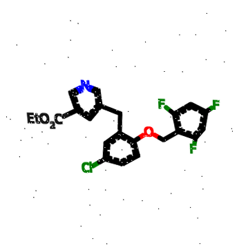 CCOC(=O)c1cncc(Cc2cc(Cl)ccc2OCc2c(F)cc(F)cc2F)c1